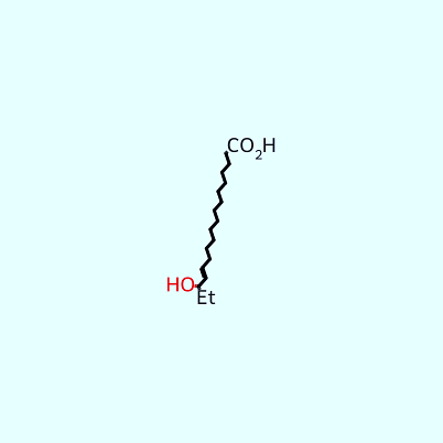 CCC(O)C=CCCCCCCCCCCCCC(=O)O